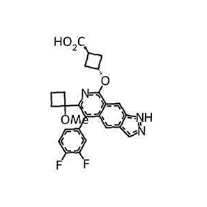 COC1(c2nc(O[C@H]3C[C@H](C(=O)O)C3)c3cc4[nH]ncc4cc3c2-c2ccc(F)c(F)c2)CCC1